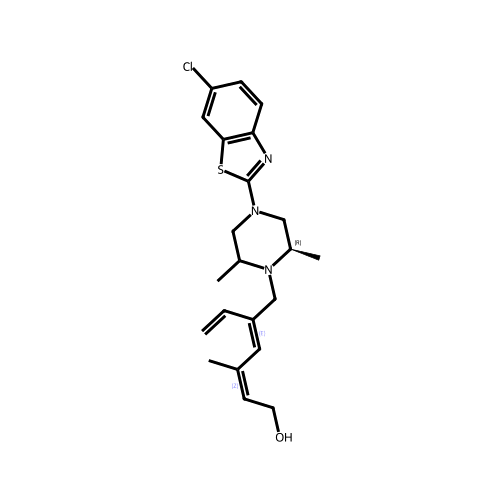 C=C/C(=C\C(C)=C/CO)CN1C(C)CN(c2nc3ccc(Cl)cc3s2)C[C@H]1C